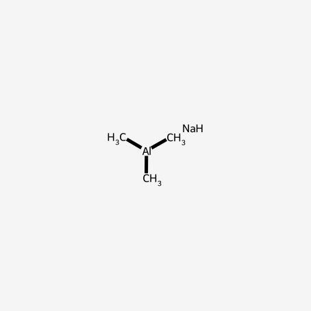 [CH3][Al]([CH3])[CH3].[NaH]